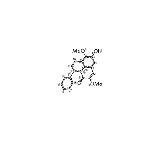 COC1=Cc2cc(O)c(OC)c3ccc(-c4ccccc4)c(c23)C1=O